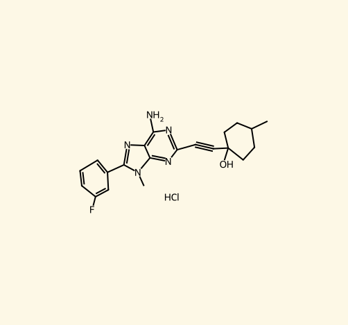 CC1CCC(O)(C#Cc2nc(N)c3nc(-c4cccc(F)c4)n(C)c3n2)CC1.Cl